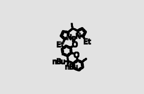 CCCCC1(CCCC)c2cccc(C)c2Oc2c(OP3n4c(CC)ccc4C(C)c4ccc(CC)n43)cccc21